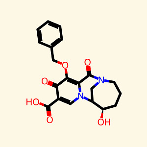 O=C(O)c1cn2c(c(OCc3ccccc3)c1=O)C(=O)N1CCC[C@@H](O)C2C1